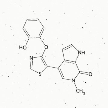 Cn1cc(-c2scnc2Oc2ccccc2O)c2cc[nH]c2c1=O